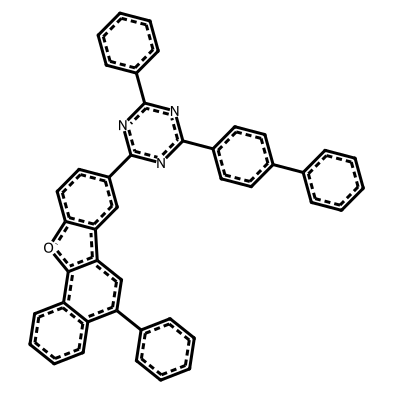 c1ccc(-c2ccc(-c3nc(-c4ccccc4)nc(-c4ccc5oc6c7ccccc7c(-c7ccccc7)cc6c5c4)n3)cc2)cc1